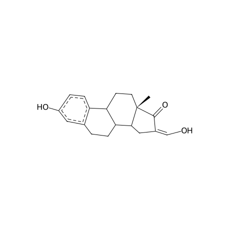 C[C@]12CCC3c4ccc(O)cc4CCC3C1C/C(=C/O)C2=O